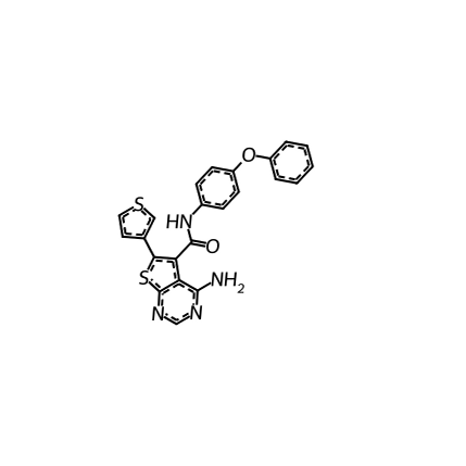 Nc1ncnc2sc(-c3ccsc3)c(C(=O)Nc3ccc(Oc4ccccc4)cc3)c12